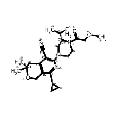 COCC(=O)N1CCN(c2nc(C3CC3)c3c(c2C#N)CC(C)(C)OC3)C[C@H]1C(C)C